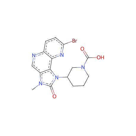 Cn1c(=O)n(C2CCCN(C(=O)O)C2)c2c3nc(Br)ccc3ncc21